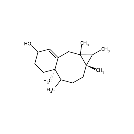 CC1CC[C@@]2(C)C(C)C2(C)CC2=CC(O)CC[C@@]21C